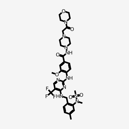 COc1cc(C(=O)NN2CCN(CC(=O)N3CCOCC3)CC2)ccc1Nc1ncc(C(F)(F)F)c(NCc2ccc(C)cc2N(C)S(C)(=O)=O)n1